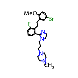 COc1ccc(Br)cc1CCc1c(F)cccc1C1=NCCN1CCCN1CCN(C)CC1